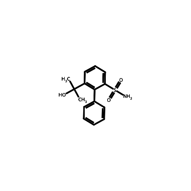 CC(C)(O)c1cccc(S(N)(=O)=O)c1-c1ccccc1